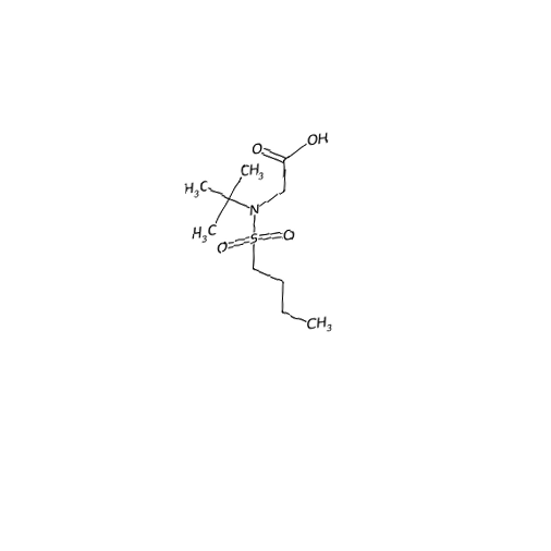 CCCCS(=O)(=O)N(CC(=O)O)C(C)(C)C